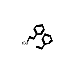 C=Cc1ccccc1.CC(C)(C)C=Cc1ccccc1